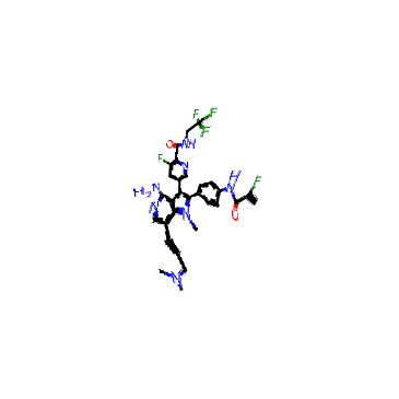 C=C(F)C(=O)Nc1ccc(-c2c(-c3cnc(C(=O)NCC(F)(F)F)c(F)c3)c3c(N)ncc(C#CCN(C)C)c3n2C)cc1